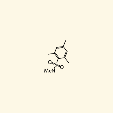 [CH2]NS(=O)(=O)c1c(C)cc(C)cc1C